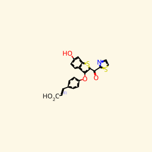 O=C(O)/C=C/c1ccc(Oc2c(C(=O)c3nccs3)sc3cc(O)ccc23)cc1